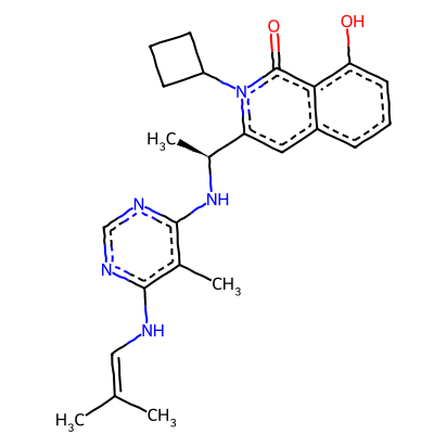 CC(C)=CNc1ncnc(N[C@@H](C)c2cc3cccc(O)c3c(=O)n2C2CCC2)c1C